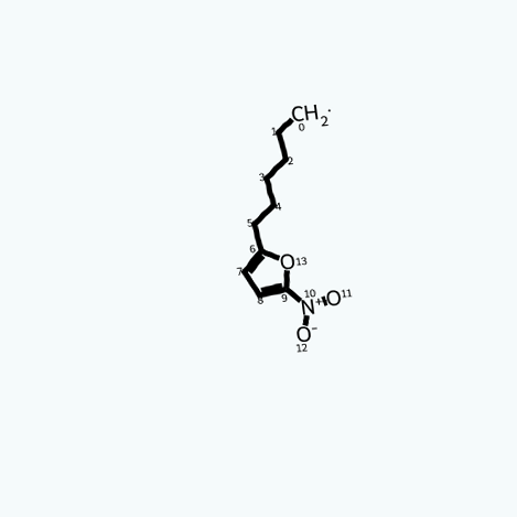 [CH2]CCCCCc1ccc([N+](=O)[O-])o1